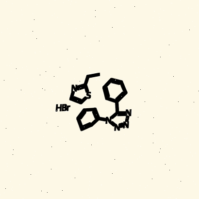 Br.CCc1nccs1.c1ccc(-c2nnnn2-c2ccccc2)cc1